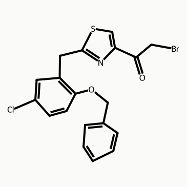 O=C(CBr)c1csc(Cc2cc(Cl)ccc2OCc2ccccc2)n1